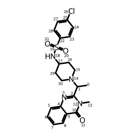 CC(c1nc2ccccc2c(=O)n1C)N1CCC(NS(=O)(=O)c2ccc(Cl)cc2)CC1